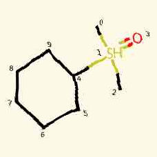 C[SH](C)(=O)C1CCCCC1